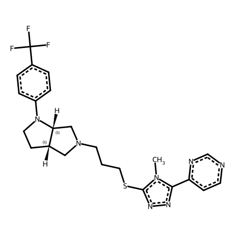 Cn1c(SCCCN2C[C@@H]3CCN(c4ccc(C(F)(F)F)cc4)[C@@H]3C2)nnc1-c1ccncn1